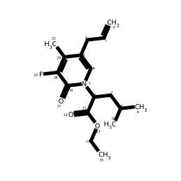 C=CCc1cn(C(CC(C)C)C(=O)OCC)c(=O)c(F)c1C